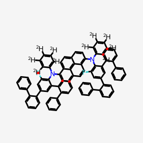 [2H]c1c([2H])c([2H])c(N(c2c(F)cc(-c3ccccc3-c3ccccc3)cc2-c2ccccc2-c2ccccc2)c2ccc3ccc4c(N(c5c(F)cc(-c6ccccc6-c6ccccc6)cc5-c5ccccc5-c5ccccc5)c5c([2H])c([2H])c([2H])c([2H])c5[2H])ccc5ccc2c3c54)c([2H])c1[2H]